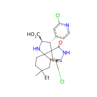 CCC1(C)CCC2(CC1)N[C@@H](C(=O)O)[C@H](c1ccnc(Cl)c1)C21C(=O)Nc2cc(Cl)ccc21